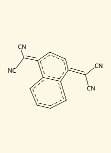 N#CC(C#N)=c1ccc(=C(C#N)C#N)c2ccccc12